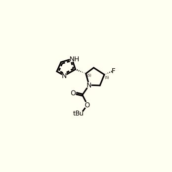 CC(C)(C)OC(=O)N1C[C@@H](F)C[C@H]1c1ncc[nH]1